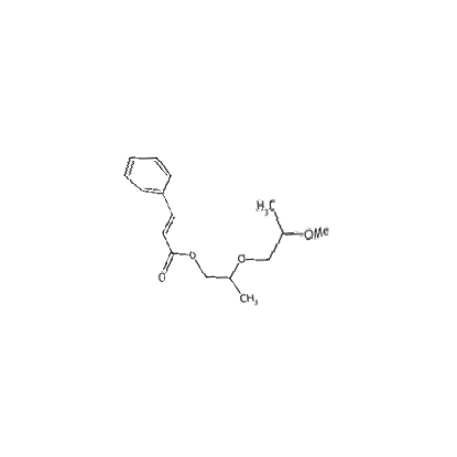 COC(C)COC(C)COC(=O)C=Cc1ccccc1